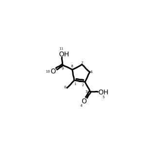 CC1=C(C(=O)O)CCC1C(=O)O